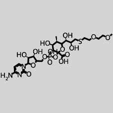 COCCOCCSC[C@@H](O)[C@@H](O)C1O[C@](OP(=O)(O)OCC2OC(n3ccc(N)nc3=O)[C@H](O)[C@@H]2O)(C(=O)O)C[C@@H](O)[C@H]1C